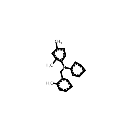 Cc1ccc(N(Cc2ccccc2C)c2ccccc2)c(C)c1